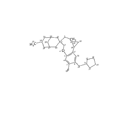 CCC1(COc2cc(F)c(CC3CCCC3)cc2C2CC2)CC2CC(C)CC(C2)C1